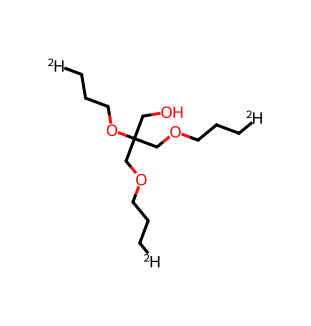 [2H]CCCOCC(CO)(COCCC[2H])OCCC[2H]